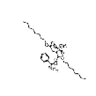 CCCCCCCCOC(=O)CC(C(=O)OCCCCCCCC)S(=O)(=O)O.NC(=O)c1ccccc1